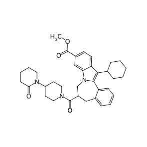 COC(=O)c1ccc2c(C3CCCCC3)c3n(c2c1)CC(C(=O)N1CCC(N2CCCCC2=O)CC1)Cc1ccccc1-3